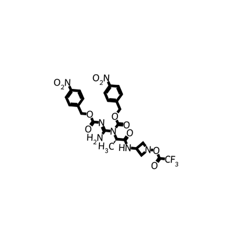 C[C@@H](C(=O)NC1CN(OC(=O)C(F)(F)F)C1)N(C(=O)OCc1ccc([N+](=O)[O-])cc1)C(N)=NC(=O)OCc1ccc([N+](=O)[O-])cc1